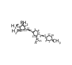 Cc1ccc(C#Cc2ccc(C#Cc3cc(P)c(C)c(P)c3)cc2C2CC2)cc1